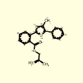 C=C(C)COC(=O)c1ccccc1-c1nc(C)c(-c2ccccc2)o1